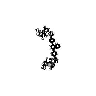 COC(=O)N[C@H](C(=O)N1C2CC2C[C@H]1c1ncc(-c2ccc(-c3ccc(-c4ccc(-c5cnc([C@@H]6CC7CC7N6C(=O)[C@@H](NC(=O)OC)C(C)C)[nH]5)cc4)c4c3C3CCC4C3)cc2)[nH]1)C(C)C